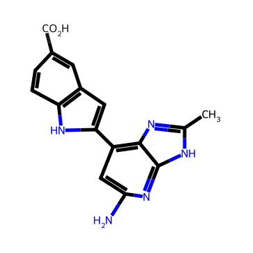 Cc1nc2c(-c3cc4cc(C(=O)O)ccc4[nH]3)cc(N)nc2[nH]1